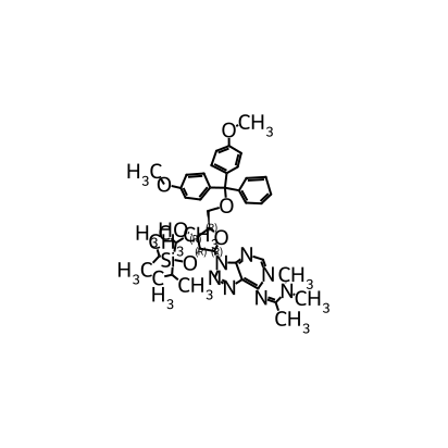 COc1ccc(C(OC[C@H]2O[C@@H](n3nnc4c(N=C(C)N(C)C)ncnc43)[C@H](O[Si](C(C)C)(C(C)C)C(C)C)[C@@H]2O)(c2ccccc2)c2ccc(OC)cc2)cc1